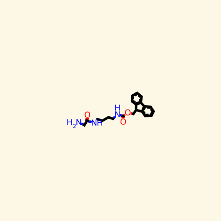 NCC(=O)NCCCCNC(=O)OCC1c2ccccc2-c2ccccc21